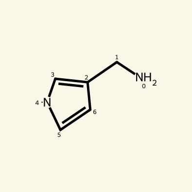 NCC1=C[N]C=C1